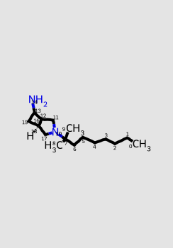 CCCCCCCC(C)(C)N1CC2C(N)C[C@@H]2C1